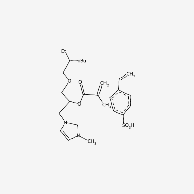 C=C(C)C(=O)OC(COCC(CC)CCCC)CN1C=CN(C)C1.C=Cc1ccc(S(=O)(=O)O)cc1